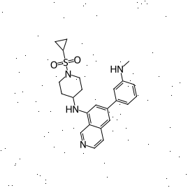 CNc1cccc(-c2cc(NC3CCN(S(=O)(=O)C4CC4)CC3)c3cnccc3c2)c1